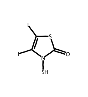 O=c1sc(I)c(I)n1S